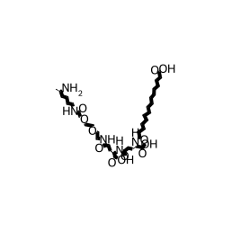 C[C@H](N)CCCCNC(=O)COCCOCCNC(=O)CC[C@H](NC(=O)CC[C@H](NC(=O)CCCCCCCCCCCCCCC(=O)O)C(=O)O)C(=O)O